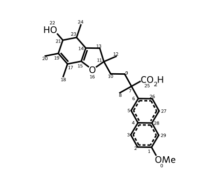 COc1ccc2cc(C(C)(CCC3(C)CC4=C(O3)C(C)=C(C)C(O)C4C)C(=O)O)ccc2c1